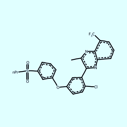 CCCS(=O)(=O)c1cccc(Oc2ccc(Cl)c(-c3nc4cccc(C(F)(F)F)c4nc3C)c2)c1